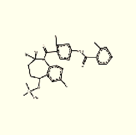 [2H]C1([2H])CCC(O[Si](C)(C)C(C)(C)C)c2cc(Cl)ccc2N1C(=O)c1ccc(NC(=O)c2ccccc2C)cc1C